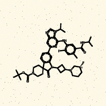 Cc1cc(F)c(Nc2nc(-c3ccc4c(c3)N(C3CC(N5CCC[C@@H](F)C5)C3)C(=O)C43CCN(C(=O)OC(C)(C)C)CC3)cc3ncn(C(C)C)c23)cc1C(=O)NC(C)C